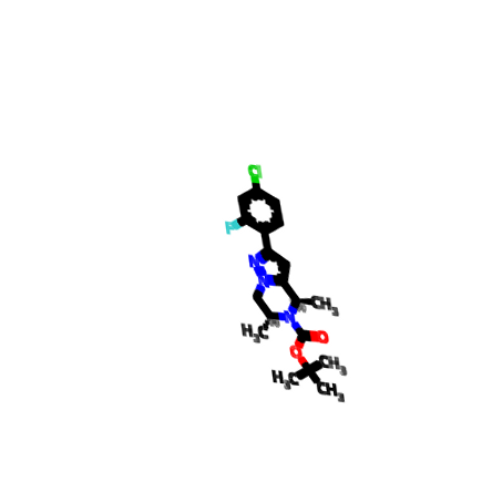 C[C@@H]1Cn2nc(-c3ccc(Cl)cc3F)cc2[C@@H](C)N1C(=O)OC(C)(C)C